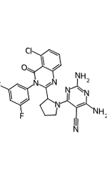 N#Cc1c(N)nc(N)nc1N1CCCC1c1nc2cccc(Cl)c2c(=O)n1-c1cc(F)cc(F)c1